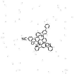 N#Cc1ccc(-n2c3ccccc3c3cc(-c4ccccc4)ccc32)c(-c2ccc(-c3ccc(C#N)cc3C(F)(F)F)cc2-n2c3ccccc3c3cc(-c4ccccc4)ccc32)c1